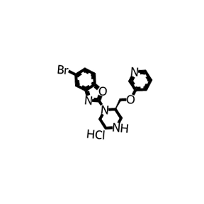 Brc1ccc2oc(N3CCNC[C@@H]3COc3cccnc3)nc2c1.Cl